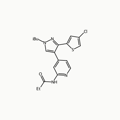 CCC(=O)Nc1cc(-c2cn(C(C)CC)nc2-c2cc(Cl)cs2)ccn1